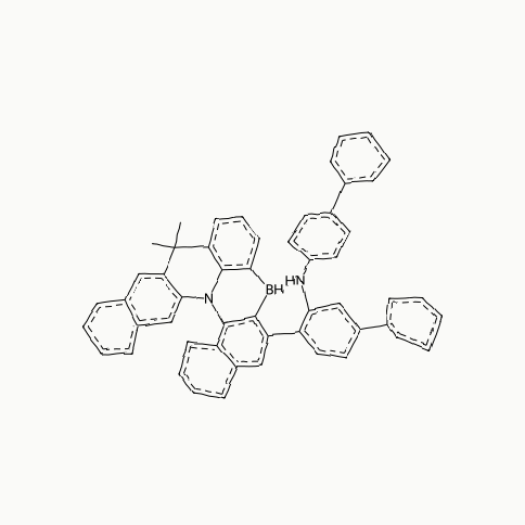 CC1(C)c2cc3ccccc3cc2N2c3c(cccc31)Bc1c(-c3ccc(-c4ccccc4)cc3Nc3ccc(-c4ccccc4)cc3)cc3ccccc3c12